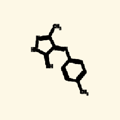 CC1=NNC(=N)/C1=N\c1ccc(C)cc1